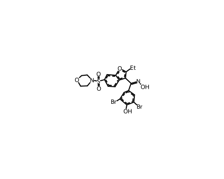 CCc1oc2cc(S(=O)(=O)N3CCOCC3)ccc2c1C(=NO)c1cc(Br)c(O)c(Br)c1